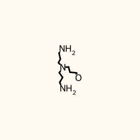 NCCCN(CCC=O)CCCN